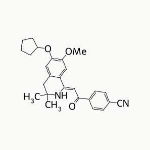 COc1cc2c(cc1OC1CCCC1)CC(C)(C)NC2=CC(=O)c1ccc(C#N)cc1